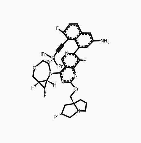 CC(C)[Si](C#Cc1c(F)ccc2cc(N)cc(-c3ncc4c(N5CCOC[C@H]6[C@H](F)[C@H]65)nc(OC[C@@]56CCCN5C[C@H](F)C6)nc4c3F)c12)(C(C)C)C(C)C